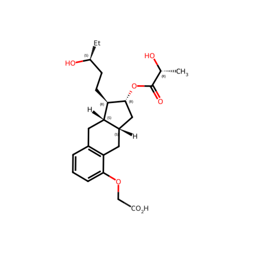 CC[C@H](O)CC[C@@H]1[C@H]2Cc3cccc(OCC(=O)O)c3C[C@H]2C[C@H]1OC(=O)[C@@H](C)O